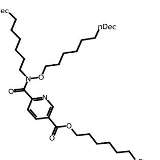 CCCCCCCCCCCCCCCCOC(=O)c1ccc(C(=O)N(CCCCCCCCCCCCCCCC)OCCCCCCCCCCCCCCCC)nc1